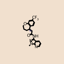 Cn1nc(NC(=O)/C=C2\CCCOc3cc(C(F)(F)F)ccc32)c2cccnc21